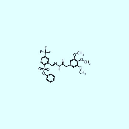 COc1cc(CC(=O)NN=Cc2cc(C(F)(F)F)ccc2S(=O)(=O)Oc2ccccc2)cc(OC)c1OC